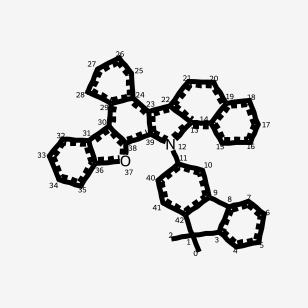 CC1(C)c2ccccc2-c2cc(-n3c4c5ccccc5ccc4c4c5ccccc5c5c6ccccc6oc5c43)ccc21